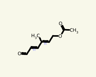 CC(=O)OC/C=C(C)/C=C/C=O